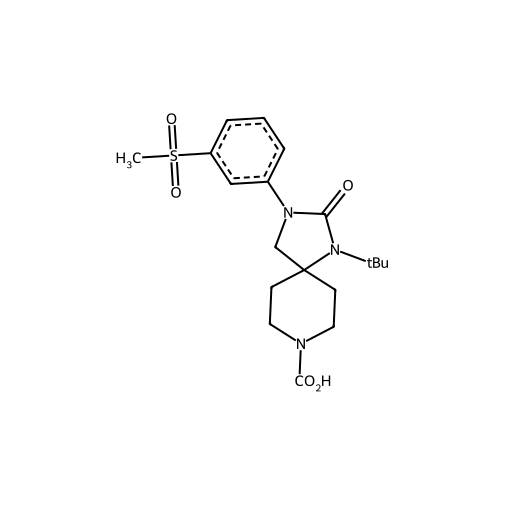 CC(C)(C)N1C(=O)N(c2cccc(S(C)(=O)=O)c2)CC12CCN(C(=O)O)CC2